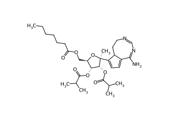 CCCCCCC(=O)OC[C@H]1O[C@@](C)(C2=CC=C3/C(N)=N\C=N/CCC32)[C@H](OC(=O)C(C)C)[C@@H]1OC(=O)C(C)C